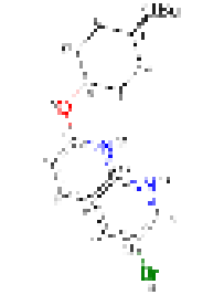 CC(C)(C)[C@H]1CC[C@H](Oc2ccc3cc(Br)cnc3n2)CC1